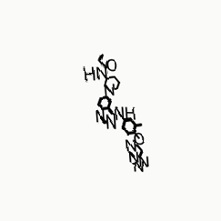 C=CC(=O)N[C@@H]1CCCN(c2ccc3ncnc(Nc4ccc(Oc5cc6nncn6cn5)c(C)c4)c3c2)C1